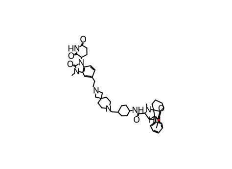 CN1C(C(=O)NC2CCC(CN3CCC4(CC3)CN(CCc3ccc5c(c3)n(C)c(=O)n5C3CCC(=O)NC3=O)C4)CC2)CC2(C(=O)Nc3ccccc32)C12CCCCC2